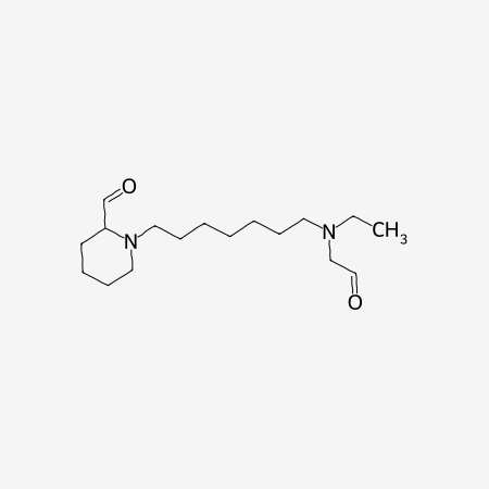 CCN(CC=O)CCCCCCCN1CCCCC1C=O